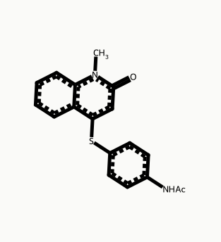 CC(=O)Nc1ccc(Sc2cc(=O)n(C)c3ccccc23)cc1